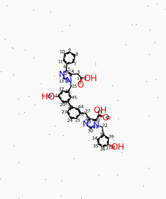 O=C(O)Cc1c(-c2ccccc2)ncn1Cc1cc(O)cc(-c2cccc(Cc3ncn(Cc4cccc(O)c4)c3C(=O)O)c2)c1